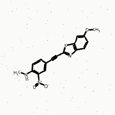 CNc1ccc(C#Cc2nc3ccc(OC)cc3s2)cc1[N+](=O)[O-]